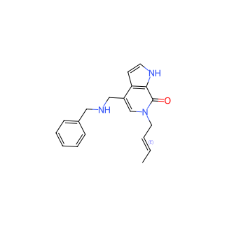 C/C=C/Cn1cc(CNCc2ccccc2)c2cc[nH]c2c1=O